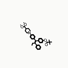 CCC(=C(c1ccc(OC(=O)C(C)(C)C)cc1)c1ccc(N2CCC(C(OC)OC)CC2)cc1)c1ccccc1